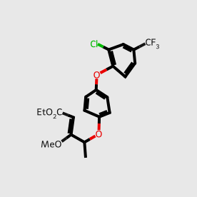 CCOC(=O)C=C(OC)C(C)Oc1ccc(Oc2ccc(C(F)(F)F)cc2Cl)cc1